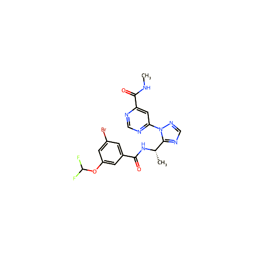 CNC(=O)c1cc(-n2ncnc2[C@H](C)NC(=O)c2cc(Br)cc(OC(F)F)c2)ncn1